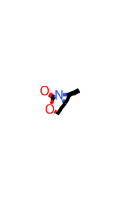 C=C1C2COC(=O)N12